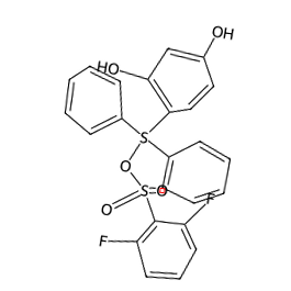 O=S(=O)(OS(c1ccccc1)(c1ccccc1)c1ccc(O)cc1O)c1c(F)cccc1F